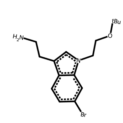 CC(C)(C)OCCn1cc(CCN)c2ccc(Br)cc21